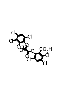 O=C(Oc1c(Cl)cc(Cl)c(Cl)c1C(=O)O)C(=O)Oc1c(Cl)cc(Cl)c(Cl)c1C(=O)O